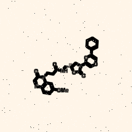 COc1ccc2ncc(=O)n(CCC(=O)NC[C@@H]3CN(C4=COC=C(C5=CC=CCC5)O4)C(=O)O3)c2c1